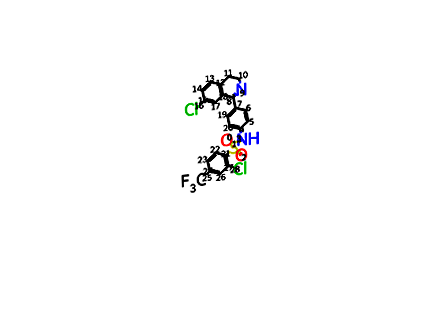 O=S(=O)(Nc1ccc(C2=NCCc3ccc(Cl)cc32)cc1)c1ccc(C(F)(F)F)cc1Cl